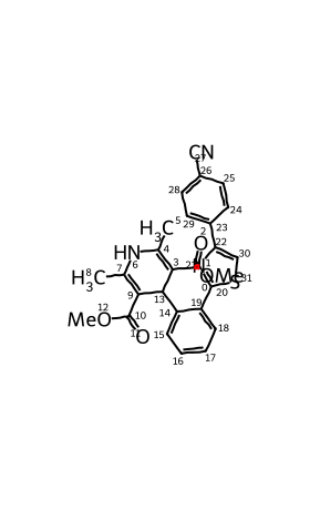 COC(=O)C1=C(C)NC(C)=C(C(=O)OC)C1c1ccccc1-c1nc(-c2ccc(C#N)cc2)cs1